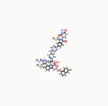 Cc1nn(C)c(C)c1-c1c(Cl)ccc2c(CCCOc3cccc4cc(F)ccc34)c(C(=O)O)n(CCN3CCC(CN4CCN(c5ccc6c(c5)C(C)N(C5CCC(=O)NC5=O)C6=O)CC4)CC3)c12